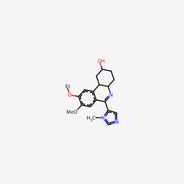 CCOc1cc2c(cc1OC)C(c1cncn1C)=NC1CCC(O)CC21